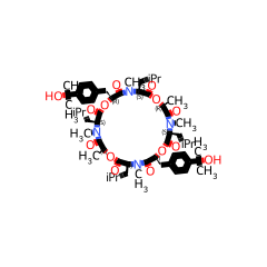 CC(C)C[C@H]1C(=O)O[C@H](Cc2ccc(C(C)(C)O)cc2)C(=O)N(C)[C@@H](CC(C)C)C(=O)O[C@H](C)C(=O)N(C)[C@@H](CC(C)C)C(=O)O[C@H](Cc2ccc(C(C)(C)O)cc2)C(=O)N(C)[C@@H](CC(C)C)C(=O)O[C@H](C)C(=O)N1C